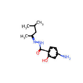 CC(CC(C)C)=NNC(=O)c1ccc(N)cc1O